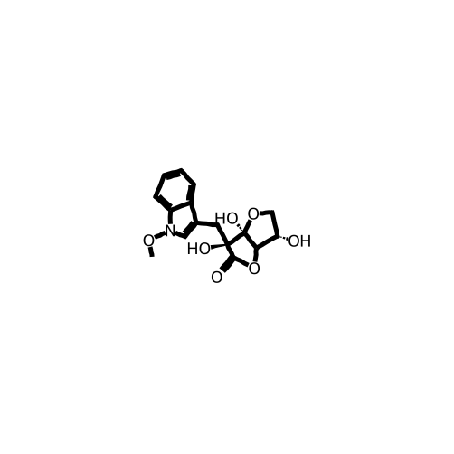 COn1cc(C[C@@]2(O)C(=O)OC3[C@@H](O)CO[C@@]32O)c2ccccc21